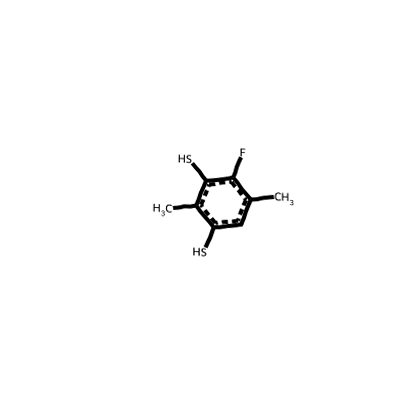 Cc1cc(S)c(C)c(S)c1F